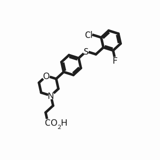 O=C(O)CCN1CCOC(c2ccc(SCc3c(F)cccc3Cl)cc2)C1